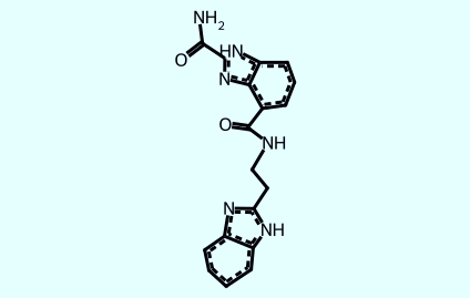 NC(=O)c1nc2c(C(=O)NCCc3nc4ccccc4[nH]3)cccc2[nH]1